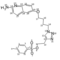 Cc1ccc(S(=O)(=O)OCCc2cn(CCCCOc3ccc4nc(N)ccc4c3)nn2)cc1